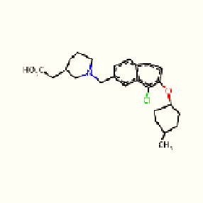 C[C@H]1CC[C@@H](Oc2ccc3ccc(CN4CCC[C@H](CC(=O)O)C4)cc3c2Cl)CC1